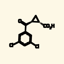 O=C(O)[C@H]1C[C@@H]1C(=O)c1cc(Cl)cc(Cl)c1